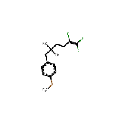 N#CC(C#N)(CCC(F)=C(F)F)Cc1ccc(SC(F)(F)F)cc1